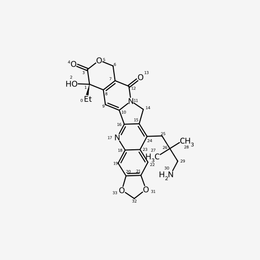 CC[C@@]1(O)C(=O)OCc2c1cc1n(c2=O)Cc2c-1nc1cc3c(cc1c2CC(C)(C)CN)OCO3